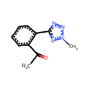 CC(=O)c1ccccc1-c1nnn(C)n1